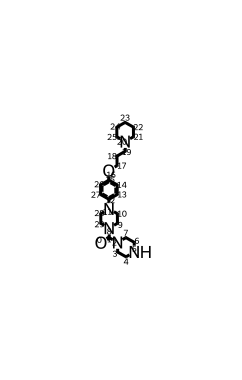 O=C(N1CCNCC1)N1CCN(c2ccc(OCCCN3CCCCC3)cc2)CC1